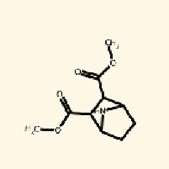 COC(=O)C1C2CCC(N2)C1C(=O)OC